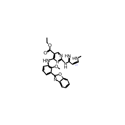 CCOC(=O)c1cnc(NC(=N)/C=C\NC)nc1Nc1cccc(-c2nc3ccccc3o2)c1OC